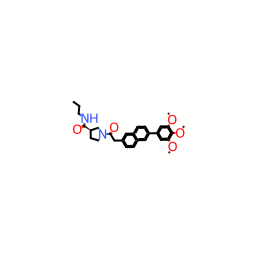 CCCNC(=O)[C@@H]1CCN(C(=O)Cc2ccc3cc(-c4cc(OC)c(OC)c(OC)c4)ccc3c2)C1